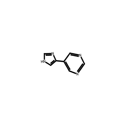 c1ncc(-c2c[nH]cn2)cn1